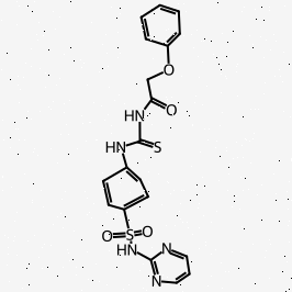 O=C(COc1ccccc1)NC(=S)Nc1ccc(S(=O)(=O)Nc2ncccn2)cc1